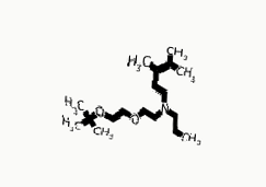 CCCN(CCOCCOC(C)(C)C)CCC(C)=C(C)C